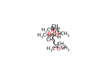 C[SiH](C)O[Si](CCC[Si](C)(C)O[SiH3])(O[SiH](C)C)O[SiH](C)C